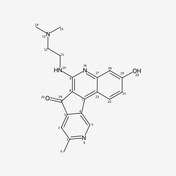 Cc1cc2c(cn1)-c1c(c(NCCN(C)C)nc3cc(O)ccc13)C2=O